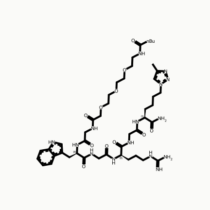 CCCCC(=O)NCCOCCOCCOCC(=O)NCC(=O)N[C@H](Cc1c[nH]c2ccccc12)C(=O)NCC(=O)N[C@H](CCCNC(=N)N)C(=O)NCC(=O)N[C@@H](CCCCn1cc(C)nn1)C(N)=O